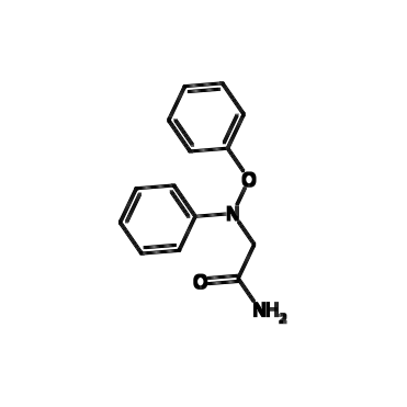 NC(=O)CN(Oc1ccccc1)c1ccccc1